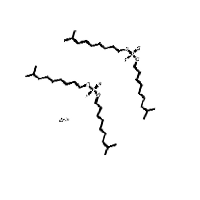 CC(C)CCCCCCCOP(=S)([S-])OCCCCCCCC(C)C.CC(C)CCCCCCCOP(=S)([S-])OCCCCCCCC(C)C.[Zn+2]